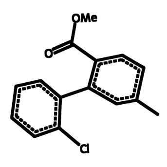 COC(=O)c1ccc(C)cc1-c1ccccc1Cl